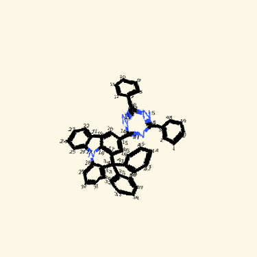 c1ccc(-c2nc(-c3ccccc3)nc(-c3cc4c5c(c3)c3ccccc3n5-c3ccccc3C4(c3ccccc3)c3ccccc3)n2)cc1